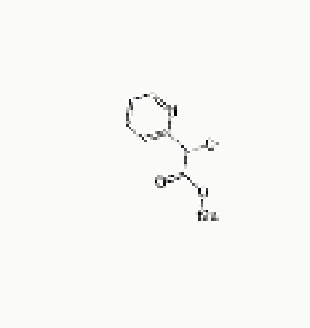 CC(C)(C)OC(=O)[C@@H]([O])c1ccccn1